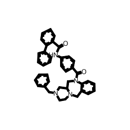 O=C(Nc1ccc(C(=O)N2CC3CN(Cc4ccccc4)CCN3Cc3ccccc32)cc1)c1ccccc1-c1ccccc1